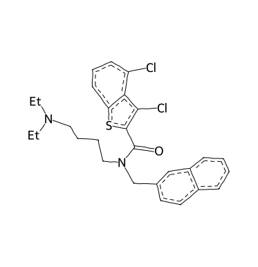 CCN(CC)CCCCN(Cc1ccc2ccccc2c1)C(=O)c1sc2cccc(Cl)c2c1Cl